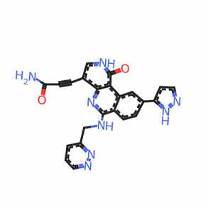 NC(=O)C#Cc1c[nH]c(=O)c2c1nc(NCc1cccnn1)c1ccc(-c3ccn[nH]3)cc12